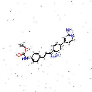 CC(C)(C)OC(=O)Nc1ccc(C=Cc2n[nH]c3cc(-c4ccnc(N)c4)ccc23)cc1